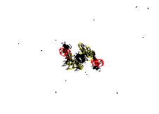 C=C(C)C(=O)OCC1CSC(C(SC)C2CCC(C(SC)C3SCC(COC(=O)C(=C)C)S3)CC2)S1